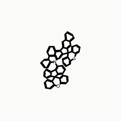 c1ccc(-c2ccccc2N(c2ccc3c(c2)C2(c4ccccc4Sc4ccccc42)c2cc4ccccc4cc2-3)c2cccc3c2-c2ccccc2C32c3ccccc3Oc3ccccc32)cc1